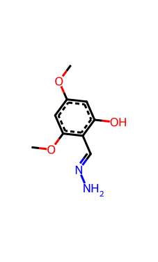 COc1cc(O)c(C=NN)c(OC)c1